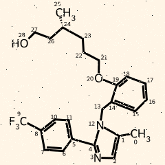 Cc1cnc(-c2ccc(C(F)(F)F)cc2)n1Cc1ccccc1OCCC[C@@H](C)CCO